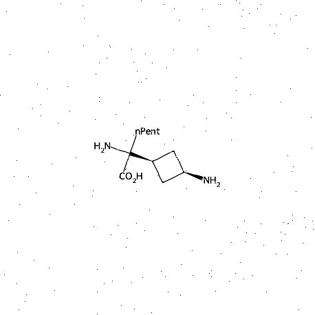 CCCCCC(N)(C(=O)O)[C@H]1C[C@@H](N)C1